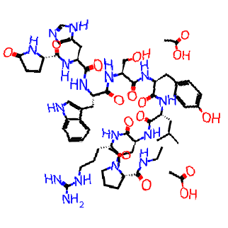 CC(=O)O.CC(=O)O.CCNC(=O)[C@@H]1CCCN1C(=O)[C@H](CCCNC(=N)N)NC(=O)[C@H](CC(C)C)NC(=O)[C@@H](CC(C)C)NC(=O)[C@H](Cc1ccc(O)cc1)NC(=O)[C@H](CO)NC(=O)[C@H](Cc1c[nH]c2ccccc12)NC(=O)[C@H](Cc1cnc[nH]1)NC(=O)[C@@H]1CCC(=O)N1